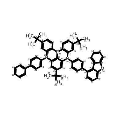 CC(C)(C)c1ccc2c(c1)N(c1ccc(-c3ccccc3)cc1)c1cc(C(C)(C)C)cc3c1B2c1ccc(C(C)(C)C)cc1N3c1ccc(-c2cccc3oc4ccccc4c23)cc1